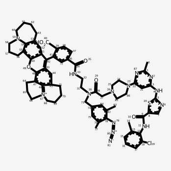 Cc1nc(Nc2ncc(C(=O)Nc3c(C)cccc3Cl)s2)cc(N2CCN(CC(=O)N(CCNC(=O)c3ccc(C(=O)O)c(C4=c5cc6c7c(c5Oc5c4cc4c8c5CCCN8CCCC4)CCC[N+]=7CCCC6)c3)Cc3cc(C)c(N=[N+]=[N-])c(C)c3)CC2)n1